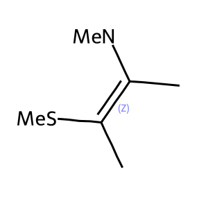 CN/C(C)=C(/C)SC